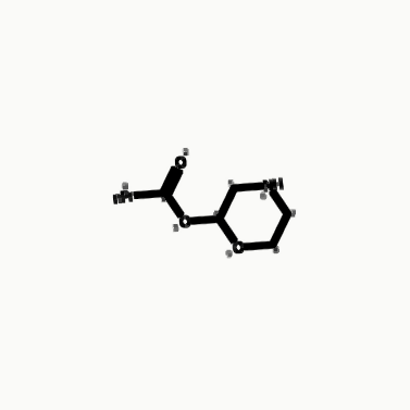 CCCC(=O)OC1CNCCO1